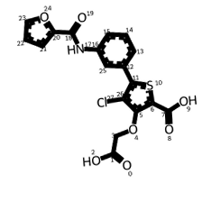 O=C(O)COc1c(C(=O)O)sc(-c2cccc(NC(=O)c3ccco3)c2)c1Cl